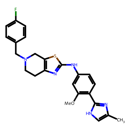 COc1cc(Nc2nc3c(s2)CN(Cc2ccc(F)cc2)CC3)ccc1-c1nc(C)c[nH]1